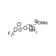 COC(=O)CCC(=O)N1CCc2cc(C(=O)c3ccccc3-c3ccc(C(F)(F)F)cc3)ccc2C1N